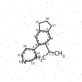 CC(C)c1cc2c(cc1-c1ccncc1)CCC2